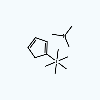 CN(C)C.[CH3][Ti]([CH3])([CH3])([CH3])([CH3])[C]1=CC=CC1